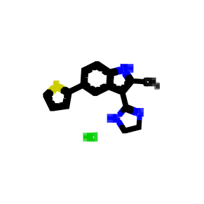 Cc1[nH]c2ccc(-c3cccs3)cc2c1C1=NCCN1.Cl